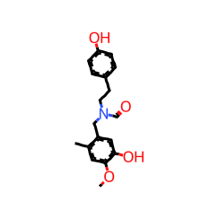 COc1cc(C)c(CN(C=O)CCc2ccc(O)cc2)cc1O